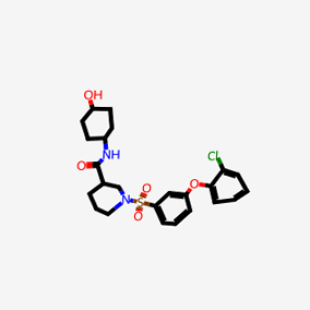 O=C(NC1CCC(O)CC1)C1CCCN(S(=O)(=O)c2cccc(Oc3ccccc3Cl)c2)C1